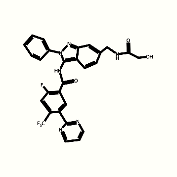 O=C(CO)NCc1ccc2c(NC(=O)c3cc(-c4ncccn4)c(C(F)(F)F)cc3F)n(-c3ccccc3)nc2c1